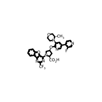 C[C@H]1COCCN1c1cc(-c2ccncc2F)cnc1O[C@H]1C[C@@H](C(=O)O)N(c2nc(C(F)(F)F)nc3c2oc2ccccc23)C1